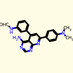 CN(C)c1ccc(-c2cc(-c3cccc(NC=O)c3)c3c(N)ncnc3n2)cc1